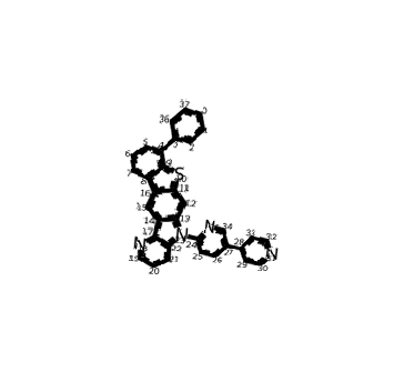 c1ccc(-c2cccc3c2sc2cc4c(cc23)c2ncccc2n4-c2ccc(-c3ccncc3)cn2)cc1